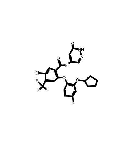 O=C(Nc1cn[nH]c(=O)c1)c1cc(Cl)c(C(F)(F)F)cc1Oc1ccc(F)cc1OC1CCCC1